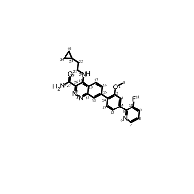 COc1cc(-c2ncccc2F)ccc1-c1ccc2c(NCCC3CC3)c(C(N)=O)nnc2c1